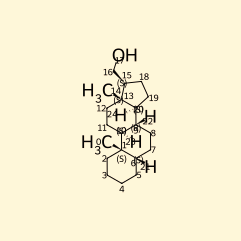 C[C@]12CCCC[C@H]1CC[C@@H]1[C@@H]2CC[C@]2(C)[C@@H](CO)CC[C@@H]12